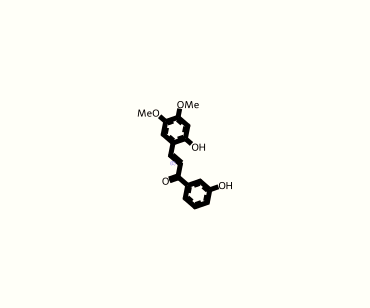 COc1cc(O)c(/C=C/C(=O)c2cccc(O)c2)cc1OC